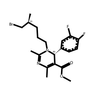 COC(=O)C1=C(C)N=C(C)N(CCC[C@H](C)CBr)[C@@H]1c1ccc(F)c(F)c1